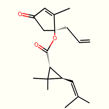 C=CC[C@]1(OC(=O)[C@@H]2[C@@H](C=C(C)C)C2(C)C)CC(=O)C=C1C